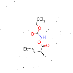 CC/C=C/[C@H](C)C(=O)ONC(=O)OCC(Cl)(Cl)Cl